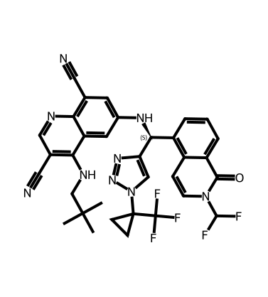 CC(C)(C)CNc1c(C#N)cnc2c(C#N)cc(N[C@H](c3cn(C4(C(F)(F)F)CC4)nn3)c3cccc4c(=O)n(C(F)F)ccc34)cc12